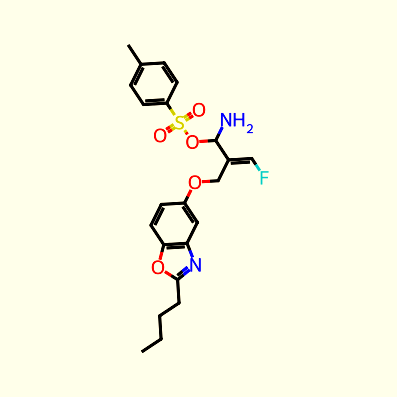 CCCCc1nc2cc(OC/C(=C\F)C(N)OS(=O)(=O)c3ccc(C)cc3)ccc2o1